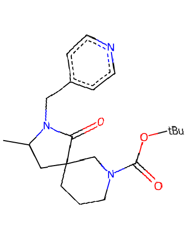 CC1CC2(CCCN(C(=O)OC(C)(C)C)C2)C(=O)N1Cc1ccncc1